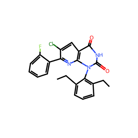 CCc1cccc(CC)c1-n1c(=O)[nH]c(=O)c2cc(Cl)c(-c3ccccc3F)nc21